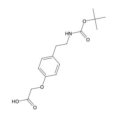 CC(C)(C)OC(=O)NCCc1ccc(OCC(=O)O)cc1